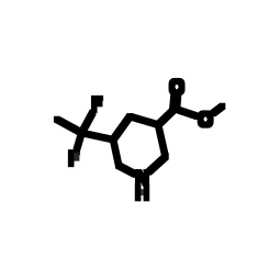 COC(=O)C1CNCC(C(C)(F)F)C1